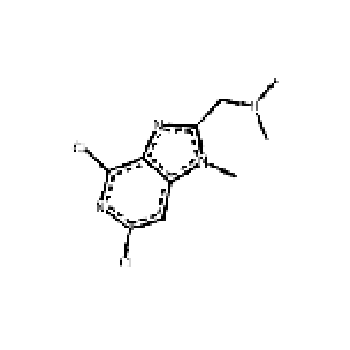 CN(C)Cc1nc2c(Cl)nc(Cl)cc2n1C